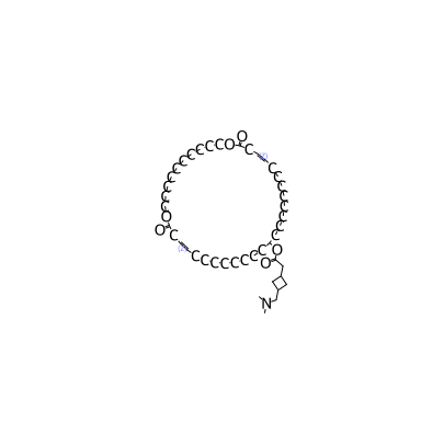 CN(C)CC1CC(CC(=O)OC2CCCCCCCC/C=C\CC(=O)OCCCCCCCCCCOC(=O)C/C=C\CCCCCCCC2)C1